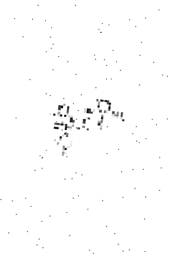 CC(CCNc1ncnc(N)c1C#N)Cc1nc2cccc(Cl)c2c(=O)n1N1CCNCC1